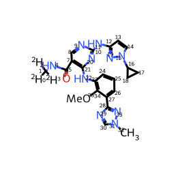 [2H]C([2H])([2H])NC(=O)c1cnc(Nc2ccn(C3CC3)n2)nc1Nc1cccc(-c2ncn(C)n2)c1OC